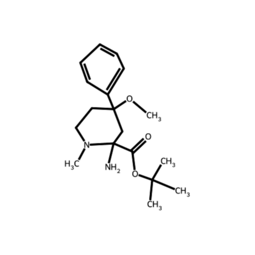 COC1(c2ccccc2)CCN(C)C(N)(C(=O)OC(C)(C)C)C1